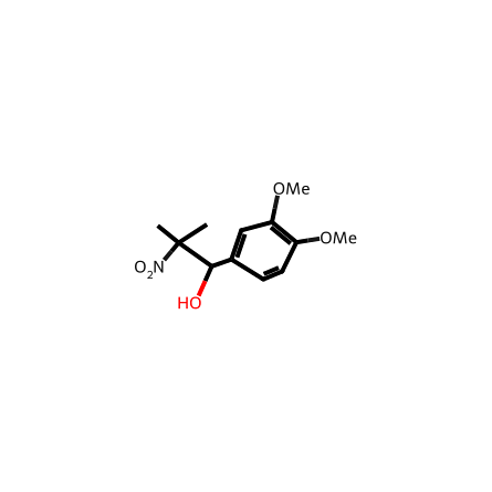 COc1ccc(C(O)C(C)(C)[N+](=O)[O-])cc1OC